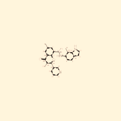 Cc1cc([C@@H](C)Nc2ccc3cc[nH]c3c2C)c2oc(-c3cccnc3)c(C)c(=O)c2c1